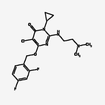 CN(C)CCNc1nc(OCc2ccc(F)cc2F)c(Cl)c(=O)n1C1CC1